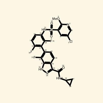 COc1ncc(Cl)cc1S(=O)(=O)Nc1ccc(F)c(-c2ccc3c(C(=O)NC4CC4)n[nH]c3c2F)c1F